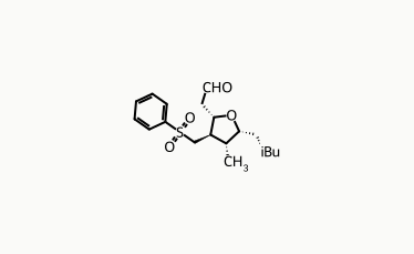 CC[C@@H](C)C[C@H]1O[C@@H](CC=O)[C@H](CS(=O)(=O)c2ccccc2)[C@H]1C